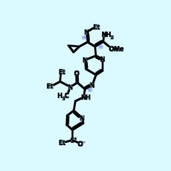 CC/N=C(\C(=C(/N)OC)c1ncc(/N=C(/NCc2ccc([S+]([O-])CC)cn2)C(=O)N(C)C(CC)CC)cn1)C1CC1